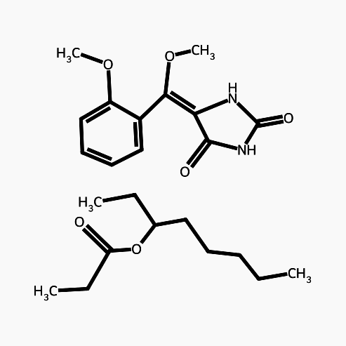 CCCCCC(CC)OC(=O)CC.COC(=C1NC(=O)NC1=O)c1ccccc1OC